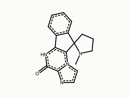 CN1CCCC12c1ccccc1-c1[nH]c(=O)c3nccn3c12